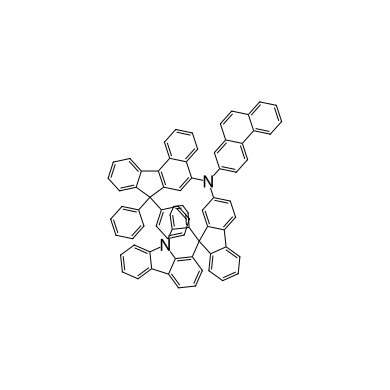 c1ccc(C2(c3ccccc3)c3ccccc3-c3c2cc(N(c2ccc4c(c2)C2(c5ccccc5-4)c4ccccc4-n4c5ccccc5c5cccc2c54)c2ccc4c(ccc5ccccc54)c2)c2ccccc32)cc1